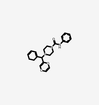 O=C(Nc1ccccc1)N1CCN(C(C2=CC=CCC2)C2=COC=CO2)CC1